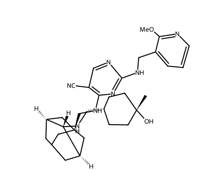 COc1ncccc1CNc1ncc(C#N)c(NC[C@]23CC4C[C@H](C2)[C@@H](NC[C@H]2CC[C@@](C)(O)CC2)[C@@H](C4)C3)n1